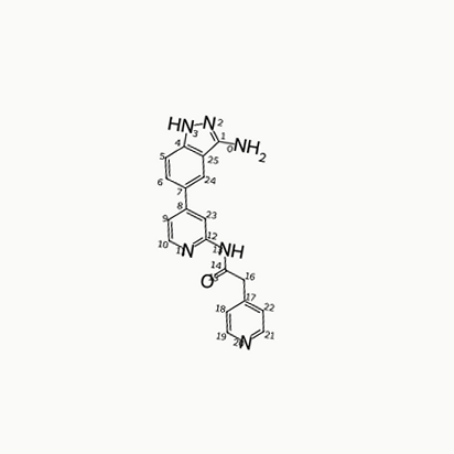 Nc1n[nH]c2ccc(-c3ccnc(NC(=O)Cc4ccncc4)c3)cc12